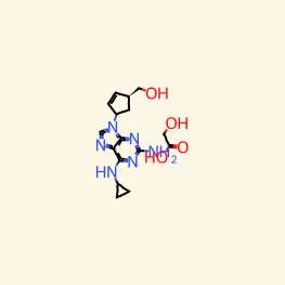 Nc1nc(NC2CC2)c2ncn([C@H]3C=C[C@@H](CO)C3)c2n1.O=C(O)CO